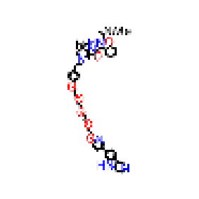 CN[C@@H](C)C(=O)N[C@H](C(=O)N1CC[C@H]2CCN(CCc3ccc(OCCOCCOCCOCCOc4ccc(-c5ccc6c(c5)[nH]c5ccncc56)cn4)cc3)C[C@H]21)C1CCCCC1